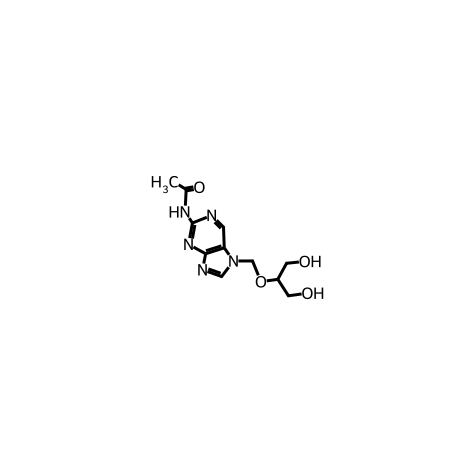 CC(=O)Nc1ncc2c(ncn2COC(CO)CO)n1